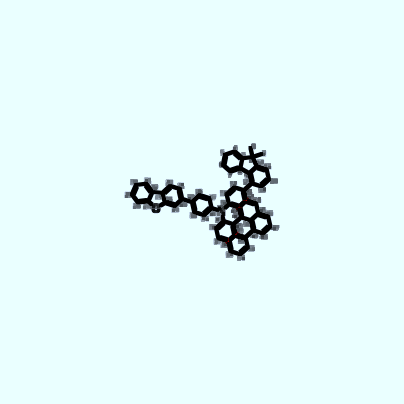 CC1(C)c2ccccc2-c2c(-c3ccc(N(c4ccc(-c5ccc6c(c5)oc5ccccc56)cc4)c4ccccc4-c4cccc5cccc(-c6ccccc6)c45)cc3)cccc21